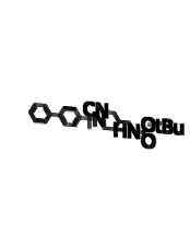 CC(C)(C)OC(=O)NCC1CCN(C(C)(C#N)c2ccc(-c3ccccc3)cc2)CC1